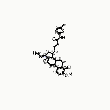 Cc1cnc(NC(=O)CCC[C@@H]2C/C(=N\O)[C@@]3(C)CCC4c5ccc(O)c(Cl)c5CCC4C23)s1